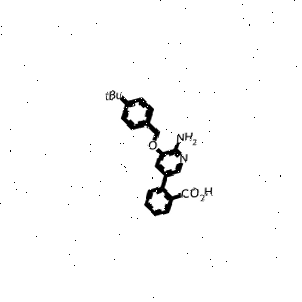 CC(C)(C)c1ccc(COc2cc(-c3ccccc3C(=O)O)cnc2N)cc1